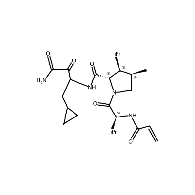 C=CC(=O)N[C@H](C(=O)N1C[C@H](C)[C@H](C(C)C)[C@H]1C(=O)NC(CC1CC1)C(=O)C(N)=O)C(C)C